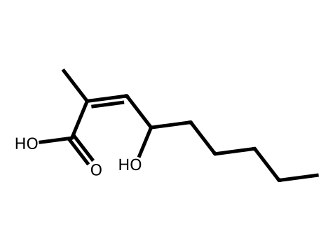 CCCCCC(O)C=C(C)C(=O)O